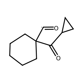 O=[C]C1(C(=O)C2CC2)CCCCC1